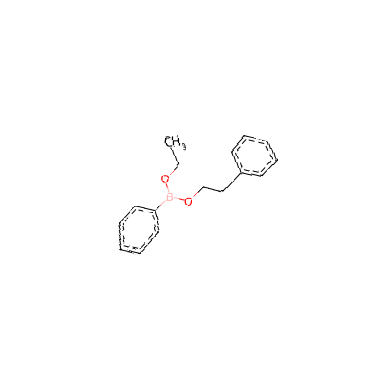 CCOB(OCCc1ccccc1)c1ccccc1